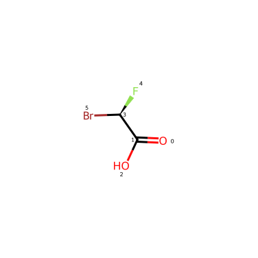 O=C(O)[C@H](F)Br